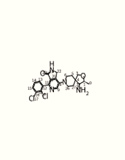 C[C@@H]1OCC2(CCN(c3cnc(-c4cccc(Cl)c4Cl)c4c3CNC4=O)CC2)[C@@H]1N